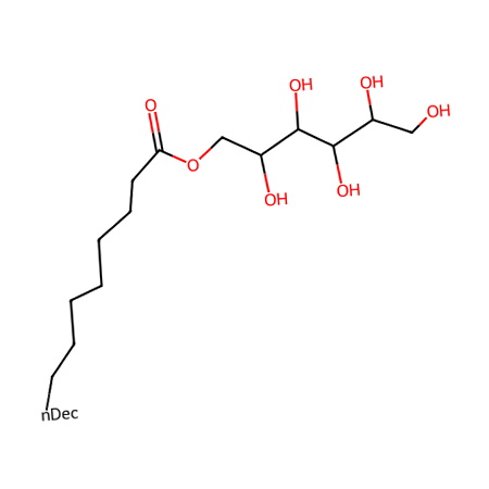 CCCCCCCCCCCCCCCCCC(=O)OCC(O)C(O)C(O)C(O)CO